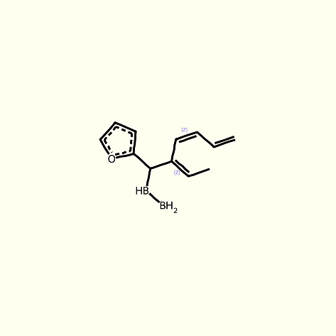 BBC(C(/C=C\C=C)=C/C)c1ccco1